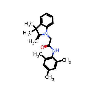 C=C1N(CC(=O)Nc2c(C)cc(C)cc2C)c2ccccc2C1(C)C